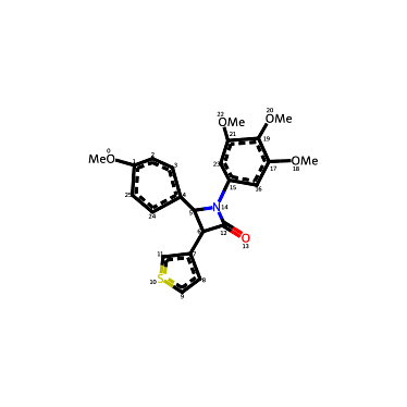 COc1ccc(C2C(c3ccsc3)C(=O)N2c2cc(OC)c(OC)c(OC)c2)cc1